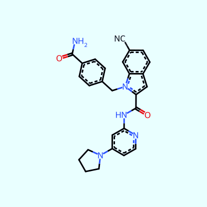 N#Cc1ccc2cc(C(=O)Nc3cc(N4CCCC4)ccn3)n(Cc3ccc(C(N)=O)cc3)c2c1